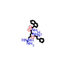 N=C(N)NCCC[C@H](NC(=O)[C@@H](N)Cc1ccccc1)C(=O)NC(=O)c1cccc2ccccc12